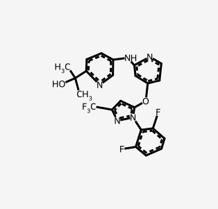 CC(C)(O)c1ccc(Nc2cc(Oc3cc(C(F)(F)F)nn3-c3c(F)cccc3F)ccn2)cn1